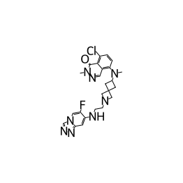 CN(c1ccc(Cl)c2c(=O)n(C)ncc12)C1CC2(C1)CN(CCNc1cc3nncn3cc1F)C2